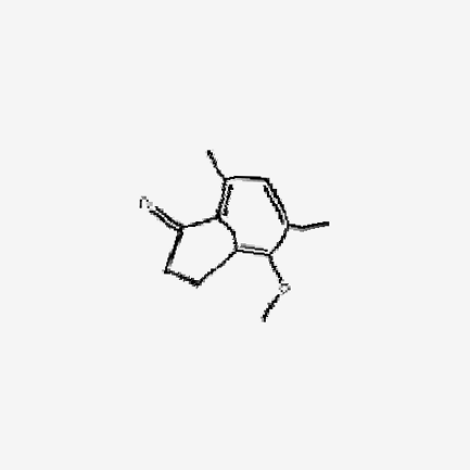 COc1c(C)cc(C)c2c1CCC2=O